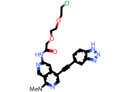 CNc1ncc(C#Cc2ccc3[nH]nnc3c2)c2cc(NC(=O)COCCOCCCl)ncc12